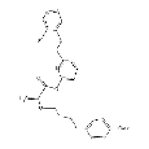 C=C(OCCCCc1ccc(OC)cc1)C(=O)Oc1cccc(CSc2ccccc2Br)n1